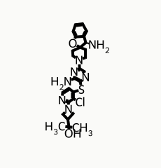 CC(C)(O)C1CN(c2nccc(Sc3ncc(N4CCC5(CC4)Oc4ccccc4[C@H]5N)nc3N)c2Cl)C1